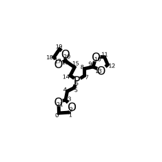 C1COC(CCP(CCC2OCCO2)CCC2OCCO2)O1